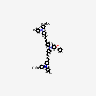 CCCCc1ccc(N(c2ccc(C)cc2)c2ccc(/C=C/C=C/c3ccc(N(c4ccc(/C=C/C=C/c5ccc(N(c6ccc(C)cc6)c6ccc(CCCC)cc6)cc5)cc4)c4ccc(Oc5ccccc5)cc4C)cc3)cc2)cc1